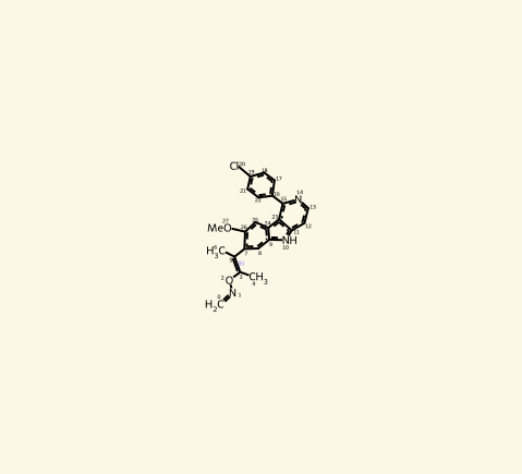 C=NO/C(C)=C(\C)c1cc2[nH]c3ccnc(-c4ccc(Cl)cc4)c3c2cc1OC